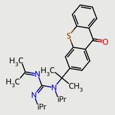 CC(C)=N/C(=N/C(C)C)N(C(C)C)C(C)(C)c1ccc2c(=O)c3ccccc3sc2c1